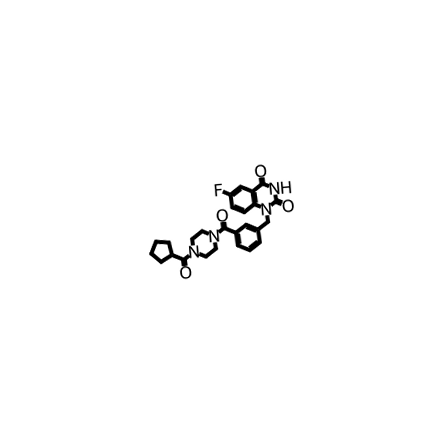 O=C(c1cccc(Cn2c(=O)[nH]c(=O)c3cc(F)ccc32)c1)N1CCN(C(=O)C2CCCC2)CC1